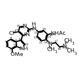 COc1cccc2c(-c3nc(Nc4ccc(N(C)CCN(C)C)c(NC(C)=O)c4)ncc3Cl)c[nH]c12